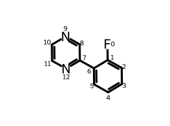 Fc1ccccc1-c1cnccn1